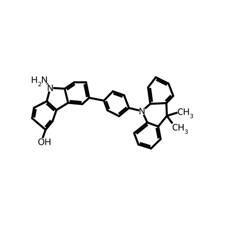 CC1(C)c2ccccc2N(c2ccc(-c3ccc4c(c3)c3cc(O)ccc3n4N)cc2)c2ccccc21